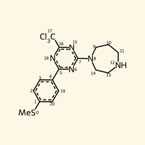 CSc1ccc(-c2nc(N3CCCNCC3)nc(C(Cl)(Cl)Cl)n2)cc1